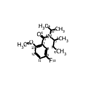 CCC(C)N(C(=O)c1cc(F)ccc1OC)C(C)C